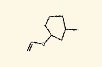 C=COC1CCCC(C)C1